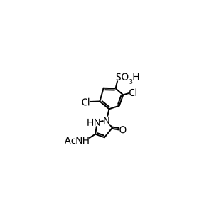 CC(=O)Nc1cc(=O)n(-c2cc(Cl)c(S(=O)(=O)O)cc2Cl)[nH]1